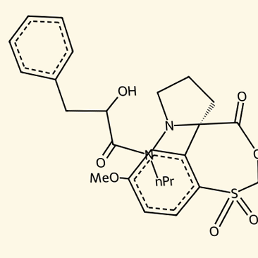 CCCN(C(=O)C(O)Cc1ccccc1)N1CCC[C@@]12C(=O)OCS(=O)(=O)c1ccc(OC)cc12